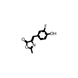 CC1=N/C(=C\c2ccc(O)c(F)c2)C(=O)O1